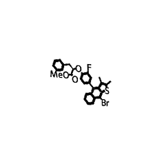 COC(=O)[C@@H](Cc1ccccc1)Oc1ccc(-c2c3ccccc3c(Br)c3sc(C)c(C)c23)cc1F